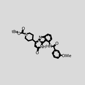 COc1cccc(C(=O)Nc2cccc3nn4c(C5CCN(C(=O)OC(C)(C)C)CC5)cc(=O)[nH]c4c23)c1